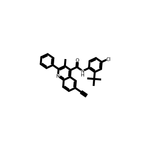 C#Cc1ccc2nc(-c3ccccc3)c(C)c(C(=O)Nc3ccc(Cl)cc3C(C)(C)C)c2c1